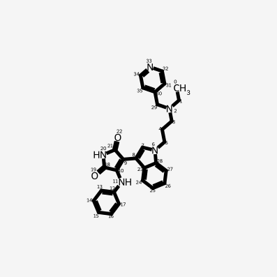 CCN(CCCn1cc(C2=C(Nc3ccccc3)C(=O)NC2=O)c2ccccc21)Cc1ccncc1